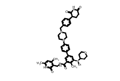 CCN(c1cc(-c2ccc(N3CCN(Cc4ccc(C5CCC(=O)NC5=O)cc4)CC3)cc2)cc(C(=O)NCc2c(C)cc(C)[nH]c2=O)c1C)C1CCOCC1